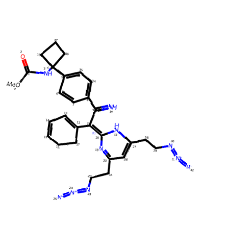 COC(=O)NC1(c2ccc(C(=N)/C(C3=CC=CCC3)=C3/N=C(CCN=[N+]=[N-])C=C(CCN=[N+]=[N-])N3)cc2)CCC1